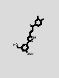 COc1cc(CO)cc(-c2cc(/C=C/C(=O)c3ccc(C)c(C)c3)[nH]n2)c1